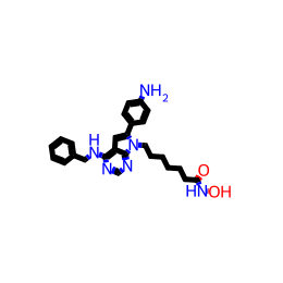 Nc1ccc(-c2cc3c(NCc4ccccc4)ncnc3n2CCCCCCC(=O)NO)cc1